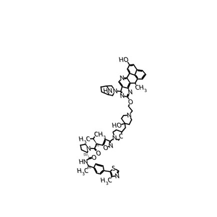 Cc1ncsc1-c1ccc([C@H](C)NC(=O)[C@@H]2CCCN2C(=O)[C@H](c2cc(N3CCC(CC4(O)CCN(CCOc5nc(N6CC7CCC(C6)N7)c6cnc7c(c6n5)C(C)c5cccc6cc(O)cc-7c56)CC4)CC3)no2)C(C)C)cc1